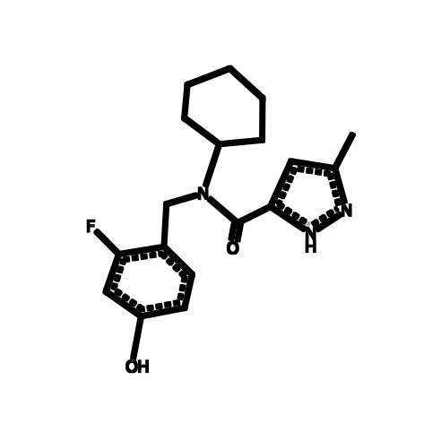 Cc1cc(C(=O)N(Cc2ccc(O)cc2F)C2CCCCC2)[nH]n1